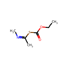 CCOC(=O)S/C(C)=N\C